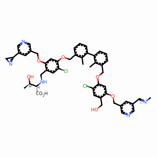 C/N=C/c1cncc(COc2cc(OCc3cccc(-c4cccc(COc5cc(OCc6cncc(C7=NC7)c6)c(CN[C@H](C(=O)O)[C@@H](C)O)cc5Cl)c4C)c3C)c(Cl)cc2CO)c1